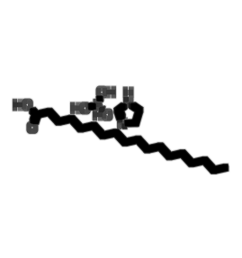 C1=NCCN1.CCCCCCCCCCCCCCCCCC(=O)O.OB(O)O